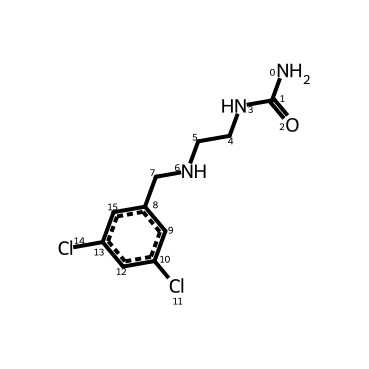 NC(=O)NCCNCc1cc(Cl)cc(Cl)c1